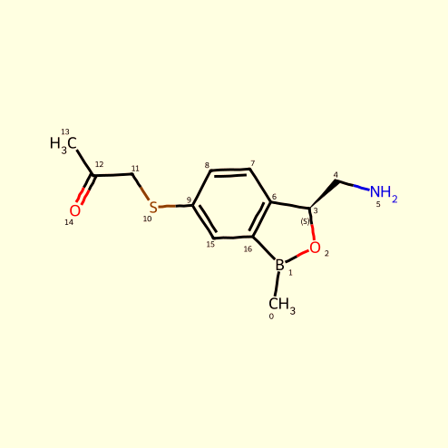 CB1O[C@H](CN)c2ccc(SCC(C)=O)cc21